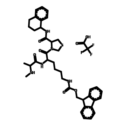 CNC(C)C(=O)NC(CCCCNC(=O)OCC1c2ccccc2-c2ccccc21)C(=O)N1CSCC1C(=O)NC1CCCc2ccccc21.O=C(O)C(F)(F)F